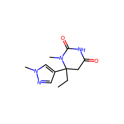 CCC1(c2cnn(C)c2)CC(=O)NC(=O)N1C